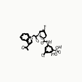 CC(=O)c1cn(CC(=O)N2C[C@H](F)C[C@H]2C(=O)Nc2cc(Cl)cc(P(=O)(O)O)c2)c2ccccc12